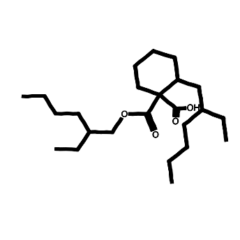 CCCCC(CC)COC(=O)C1(C(=O)O)CCCCC1CC(CC)CCCC